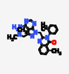 Cc1ccccc1-n1c(Cn2nc(CN(C)C)c3c(N)ncnc32)nc2cccc(C)c2c1=O